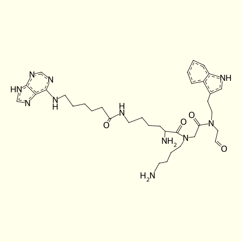 NCCCCN(CC(=O)N(CC=O)CCc1c[nH]c2ccccc12)C(=O)C(N)CCCCNC(=O)CCCCCNc1ncnc2[nH]cnc12